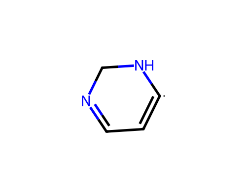 [C]1=CC=NCN1